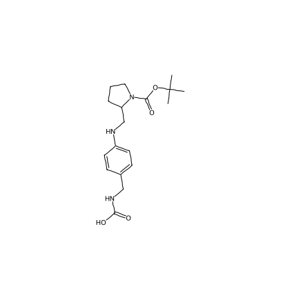 CC(C)(C)OC(=O)N1CCCC1CNc1ccc(CNC(=O)O)cc1